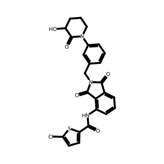 O=C(Nc1cccc2c1C(=O)N(Cc1cccc(N3CCCC(O)C3=O)c1)C2=O)c1ccc(Cl)s1